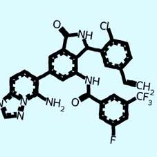 C=Cc1ccc(Cl)c(C2NC(=O)c3cc(-c4ccc5ncnn5c4N)cc(NC(=O)c4cc(F)cc(C(F)(F)F)c4)c32)c1